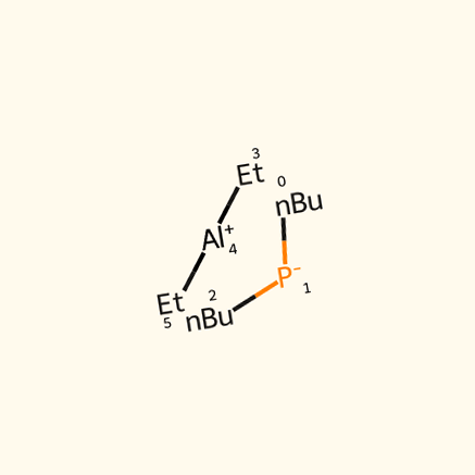 CCCC[P-]CCCC.C[CH2][Al+][CH2]C